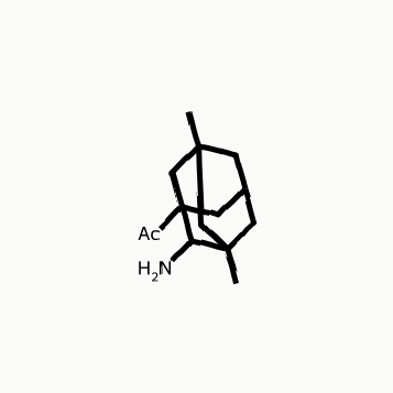 CC(=O)C12CC3CC(C)(CC(C)(C3)C1N)C2